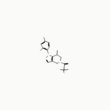 CC1CN(C(=O)C(C)(O)C(F)(F)F)Cc2cnn(-c3ccc(F)cc3F)c21